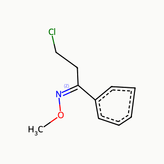 CO/N=C(/CCCl)c1ccccc1